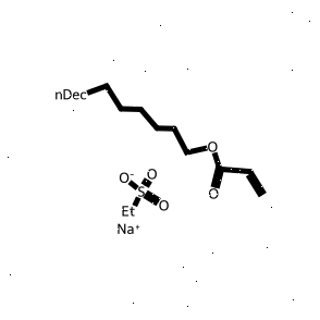 C=CC(=O)OCCCCCCCCCCCCCCCC.CCS(=O)(=O)[O-].[Na+]